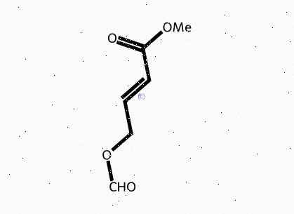 COC(=O)/C=C/COC=O